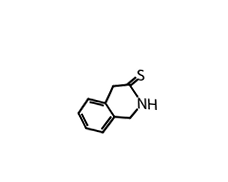 S=C1Cc2ccccc2CN1